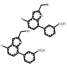 CCOC(=O)c1cccc(-c2ccc(F)c3cc(CBr)sc23)c1.CCOC(=O)c1cccc(-c2ccc(F)c3cc(CO)sc23)c1